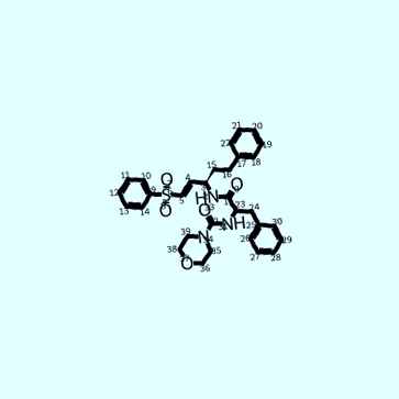 O=C(N[C@@H](/C=C/S(=O)(=O)c1ccccc1)CCc1ccccc1)C(Cc1ccccc1)NC(=O)N1CCOCC1